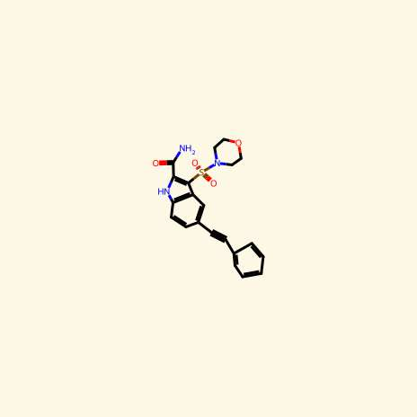 NC(=O)c1[nH]c2ccc(C#Cc3ccccc3)cc2c1S(=O)(=O)N1CCOCC1